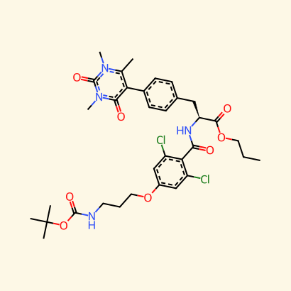 CCCOC(=O)[C@H](Cc1ccc(-c2c(C)n(C)c(=O)n(C)c2=O)cc1)NC(=O)c1c(Cl)cc(OCCCNC(=O)OC(C)(C)C)cc1Cl